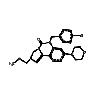 COCC1C=C2c3ncc(N4CCOCC4)cc3N(Cc3ccc(Cl)cc3)C(=O)N2C1